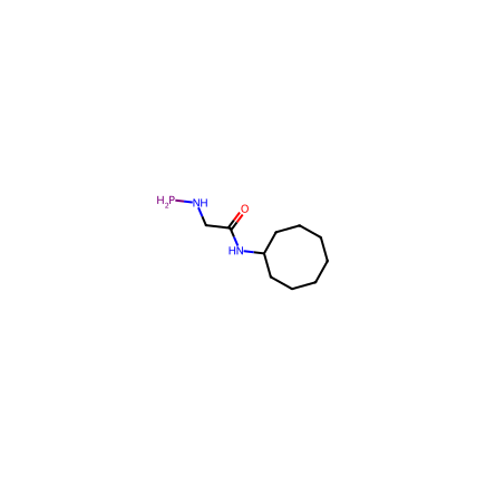 O=C(CNP)NC1CCCCCCC1